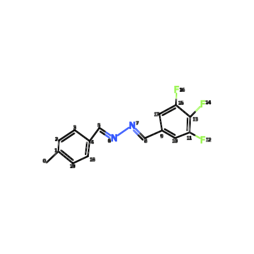 Cc1ccc(C=NN=Cc2cc(F)c(F)c(F)c2)cc1